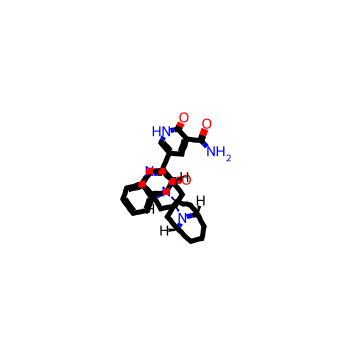 NC(=O)c1cc(-c2nc3ccccc3n([C@H]3C[C@H]4CCC[C@@H](C3)N4[C@H]3C[C@@H]4CCC[C@@H](C4)C3)c2=O)c[nH]c1=O